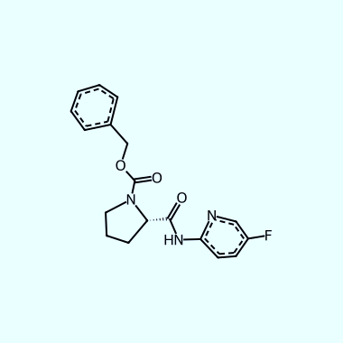 O=C(Nc1ccc(F)cn1)[C@@H]1CCCN1C(=O)OCc1ccccc1